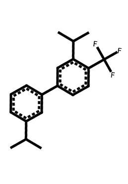 CC(C)c1cccc(-c2ccc(C(F)(F)F)c(C(C)C)c2)c1